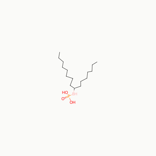 CCCCCCCCC(BP(=O)(O)O)CCCCCCC